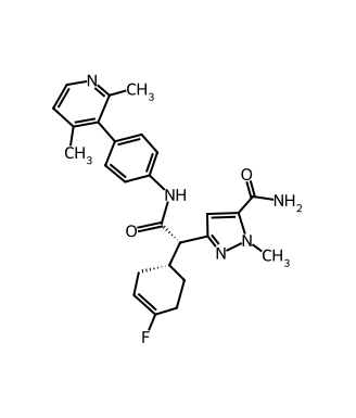 Cc1ccnc(C)c1-c1ccc(NC(=O)[C@H](c2cc(C(N)=O)n(C)n2)[C@H]2CC=C(F)CC2)cc1